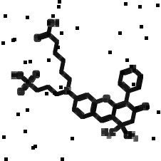 CC1(C)CC(=O)C(c2ccncc2)=C2Oc3cc(N(CCCCCC(=O)O)CCCS(=O)(=O)O)ccc3C=C21